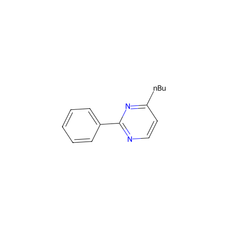 CCCCc1ccnc(-c2ccccc2)n1